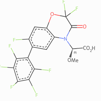 CO[C@H](C(=O)O)N1C(=O)C(F)(F)Oc2cc(F)c(-c3c(F)c(F)c(F)c(F)c3F)cc21